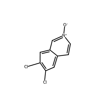 [O-][n+]1ccc2cc(Cl)c(Cl)cc2c1